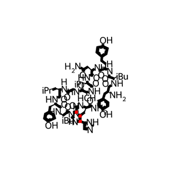 CC[C@H](C)[C@@H](NC(=O)[C@H](N)Cc1ccc(O)cc1)C(=O)N[C@H](CCc1ccc(O)cc1)C(=O)N[C@H](CC(N)=O)C(=O)N[C@@H](C(=O)N[C@H](C)C(=O)NCC(=O)N[C@H](CC(C)C)C(=O)N[C@H](Cc1ccc(O)cc1)C(=O)N[C@@H](C(=O)N[C@H](CCc1cnc[nH]1)C(=O)N[C@H](Cc1cnc[nH]1)C(N)=O)[C@@H](C)CC)C(C)C